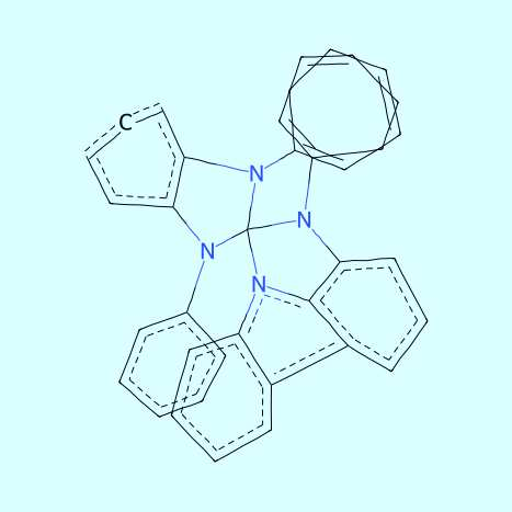 C1=CCCC(N2c3ccccc3N(c3ccccc3)C23N(C2=CC=CCC2)c2cccc4c5ccccc5n3c24)=C1